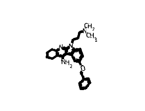 CN(C)CCCn1c2ccc(OCc3ccccc3)cc2c2c(N)c3c(nc21)CCCC3